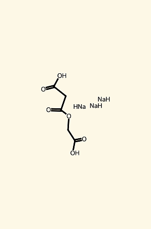 O=C(O)COC(=O)CC(=O)O.[NaH].[NaH].[NaH]